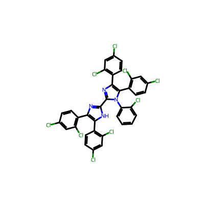 Clc1ccc(-c2nc(-c3nc(-c4ccc(Cl)cc4Cl)c(-c4ccc(Cl)cc4Cl)n3-c3ccccc3Cl)[nH]c2-c2ccc(Cl)cc2Cl)c(Cl)c1